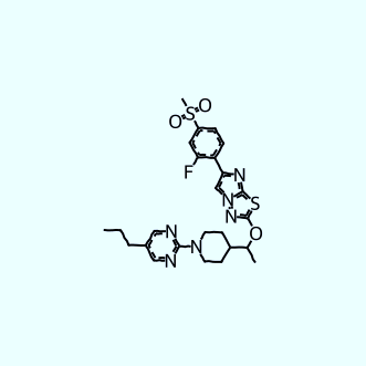 CCCc1cnc(N2CCC(C(C)Oc3nn4cc(-c5ccc(S(C)(=O)=O)cc5F)nc4s3)CC2)nc1